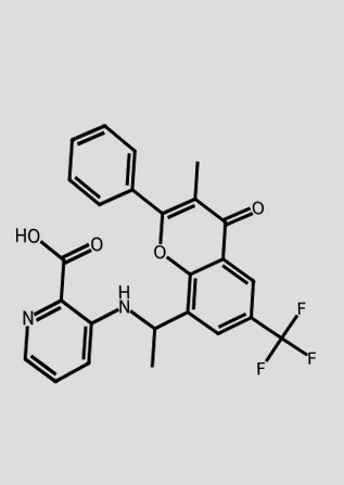 Cc1c(-c2ccccc2)oc2c(C(C)Nc3cccnc3C(=O)O)cc(C(F)(F)F)cc2c1=O